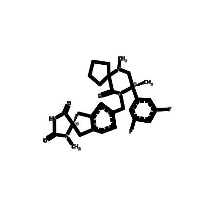 CN1C[C@@](C)(c2cc(F)cc(F)c2)N(Cc2ccc3c(c2)C[C@@]2(C3)C(=O)NC(=O)N2C)C(=O)C12CCCC2